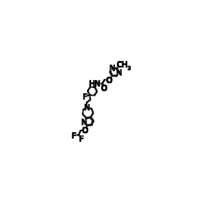 Cc1ncc(OCC(=O)NC2CCC(F)(CCN3CCc4ccc(OCC(F)F)nc4CC3)CC2)cn1